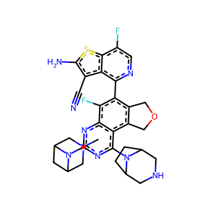 CN1CC2CC(C1)N2c1nc(N2C3CCC2CNC3)c2c3c(c(-c4ncc(F)c5sc(N)c(C#N)c45)c(F)c2n1)COC3